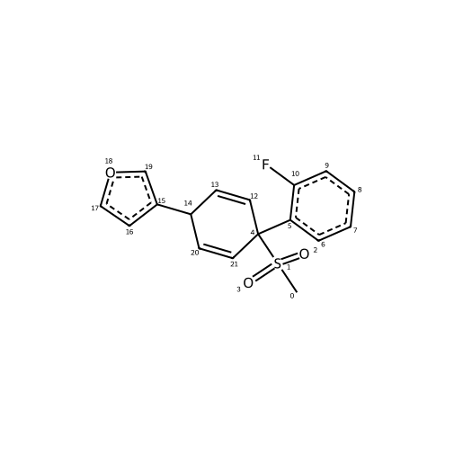 CS(=O)(=O)C1(c2ccccc2F)C=CC(c2ccoc2)C=C1